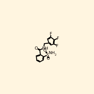 NS(=O)(=O)c1ccccc1C(=O)NCc1cc(F)c(F)c(F)c1